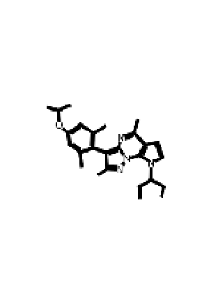 CCC(CC)n1ccc2c(C)nc3c(-c4c(C)cc(OC(C)C)cc4C)c(C)nn3c21